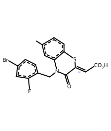 Cc1ccc2c(c1)N(Cc1ccc(Br)cc1F)C(=O)/C(=C/C(=O)O)S2